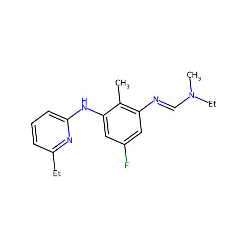 CCc1cccc(Nc2cc(F)cc(N=CN(C)CC)c2C)n1